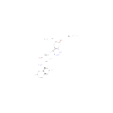 CCN(C1=CC(=O)C(Nc2ncnc3cc(OCCOC)c(OC)cc23)=CC1=O)c1cccc2ccccc12